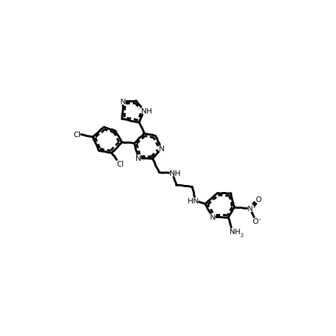 Nc1nc(NCCNCc2ncc(-c3cnc[nH]3)c(-c3ccc(Cl)cc3Cl)n2)ccc1[N+](=O)[O-]